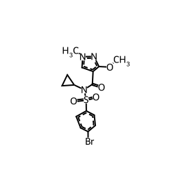 COc1nn(C)cc1C(=O)N(C1CC1)S(=O)(=O)c1ccc(Br)cc1